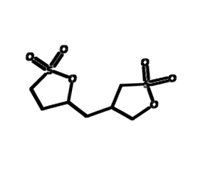 O=S1(=O)CC(CC2CCS(=O)(=O)O2)CO1